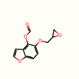 O=COc1c(OCC2CO2)ccc2occc12